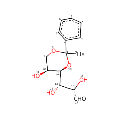 [2H]C1(c2ccccc2)OC[C@H](O)[C@H]([C@@H](O)[C@H](O)C=O)O1